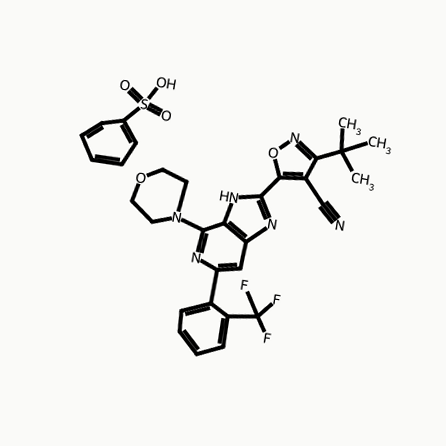 CC(C)(C)c1noc(-c2nc3cc(-c4ccccc4C(F)(F)F)nc(N4CCOCC4)c3[nH]2)c1C#N.O=S(=O)(O)c1ccccc1